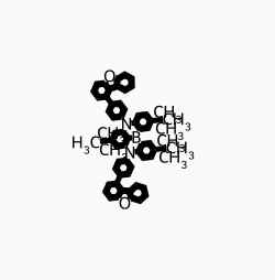 CC(C)(C)c1ccc2c(c1)B1c3cc(C(C)(C)C)ccc3N(c3ccc(-c4cccc5oc6ccccc6c45)cc3)c3cc(C(C)(C)C)cc(c31)N2c1ccc(-c2cccc3oc4ccccc4c23)cc1